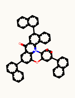 O=c1c2cc(-c3cccc4ccccc34)cc3c2n(c2c1cc(-c1cccc4ccccc14)c1ccccc12)-c1c(cc(-c2cccc4ccccc24)c2ccccc12)O3